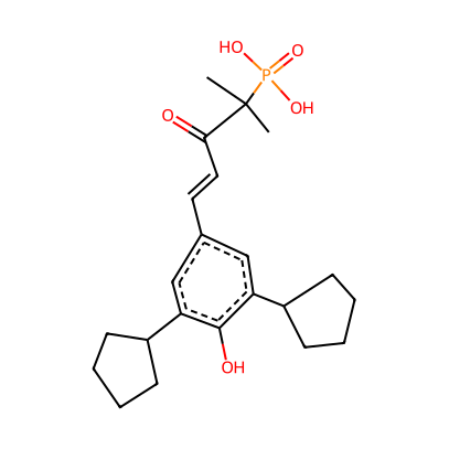 CC(C)(C(=O)C=Cc1cc(C2CCCC2)c(O)c(C2CCCC2)c1)P(=O)(O)O